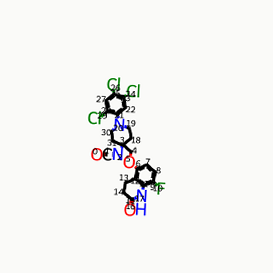 O=C=NC1(COc2ccc(F)c3c2CCC(=O)N3)CCN(c2cc(Cl)c(Cl)cc2Cl)CC1